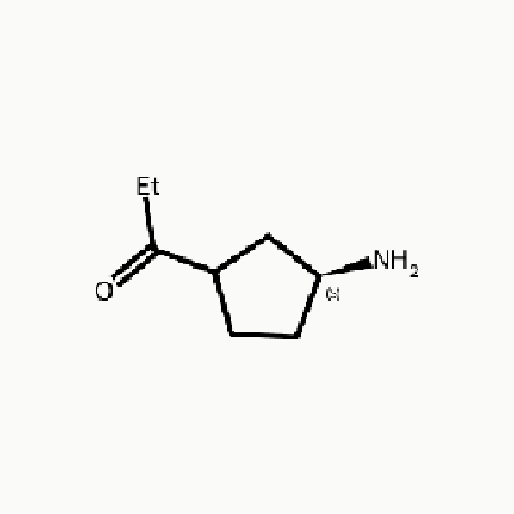 CCC(=O)C1CC[C@H](N)C1